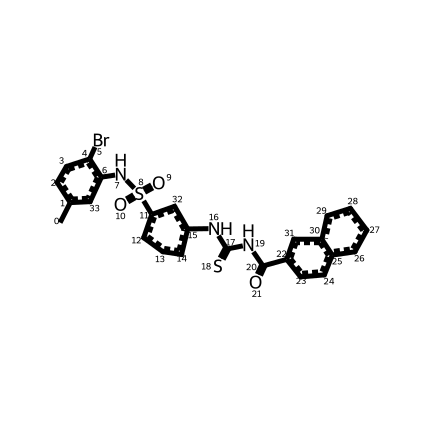 Cc1ccc(Br)c(NS(=O)(=O)c2cccc(NC(=S)NC(=O)c3ccc4ccccc4c3)c2)c1